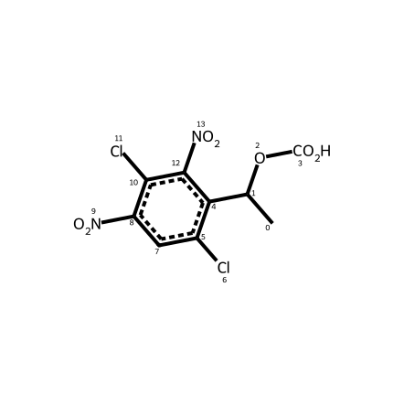 CC(OC(=O)O)c1c(Cl)cc([N+](=O)[O-])c(Cl)c1[N+](=O)[O-]